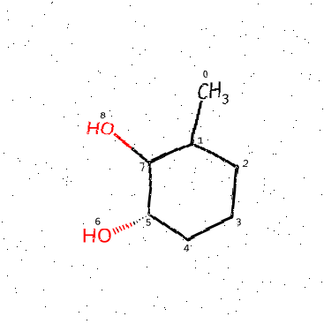 CC1CCC[C@H](O)C1O